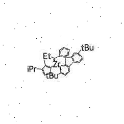 CC/[C](c1ccccc1)=[Zr](\[C]1=C(C)C(C(C)C)=CC1C)[c]1c(C(C)(C)C)ccc2c1Cc1cc(C(C)(C)C)ccc1-2